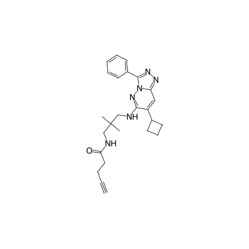 C#CCCC(=O)NCC(C)(C)CNc1nn2c(-c3ccccc3)nnc2cc1C1CCC1